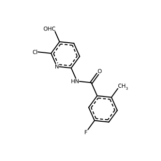 Cc1ccc(F)cc1C(=O)Nc1ccc(C=O)c(Cl)n1